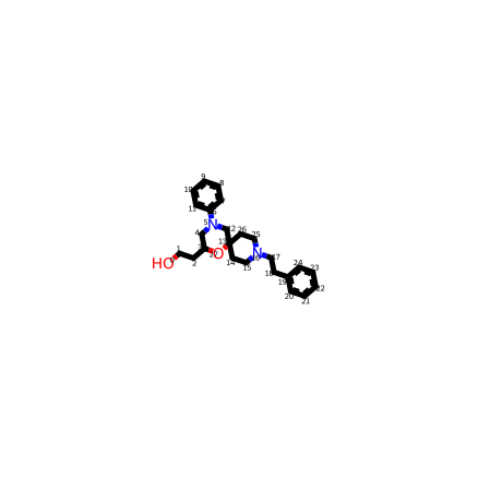 OCCC1CN(c2ccccc2)CC2(CCN(CCc3ccccc3)CC2)O1